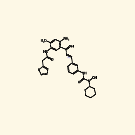 Cc1cc(N)c(C(=N)/C=C/c2cccc(NC(=O)N(O)C3CCCCC3)c2)cc1NC(=O)Cc1cccs1